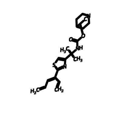 C=C/C=C(\C=C)c1nc(C(C)(C)NC(=O)OC2CN3CCC2CC3)cs1